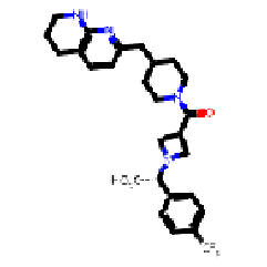 O=C(O)[C@@H](c1ccc(C(F)(F)F)cc1)N1CC(C(=O)N2CCC(Cc3ccc4c(n3)NCCC4)CC2)C1